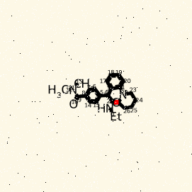 CCNC(=O)C(c1ccc(C(=O)N(C)C)cc1)c1ccccc1N1CCCCC1